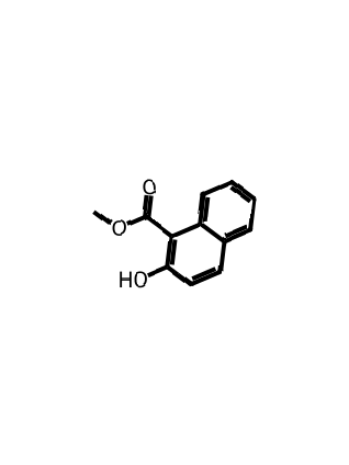 COC(=O)c1c(O)ccc2ccccc12